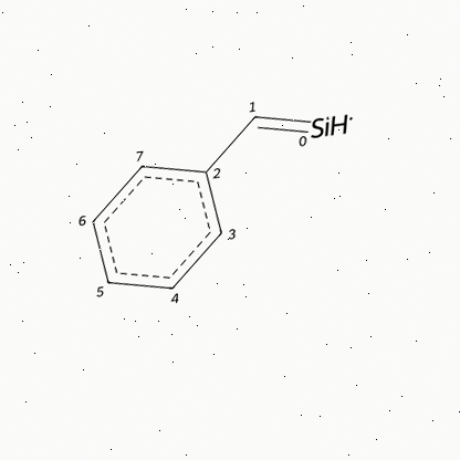 [SiH]=Cc1ccccc1